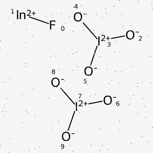 [F][In+2].[O-][I+2]([O-])[O-].[O-][I+2]([O-])[O-]